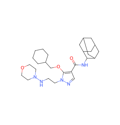 O=C(NC1C2CC3CC(C2)CC1C3)c1cnn(CCNN2CCOCC2)c1OCC1CCCCC1